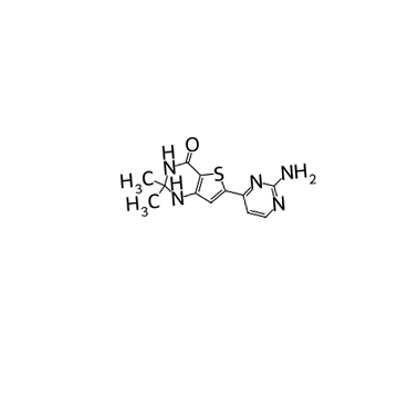 CC1(C)NC(=O)c2sc(-c3ccnc(N)n3)cc2N1